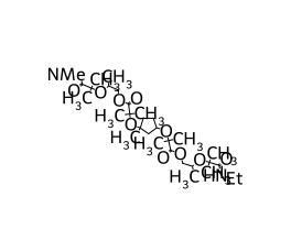 CCNC(=O)C(C)(C)OC(C)COC(=O)C(C)(C)OC1CCC(C)(OC(C)(C)C(=O)OCC(C)OC(C)(C)C(=O)NC)C1